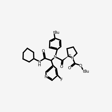 CC(C)(C)OC(=O)N1CCC[C@@H]1C(=O)N(c1ccc(C(C)(C)C)cc1)C(C(=O)NC1CCCCC1)c1cncc(F)c1